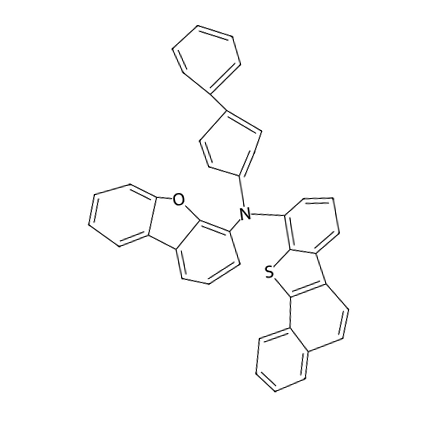 c1ccc(-c2ccc(N(c3cccc4c3oc3ccccc34)c3cccc4c3sc3c5ccccc5ccc43)cc2)cc1